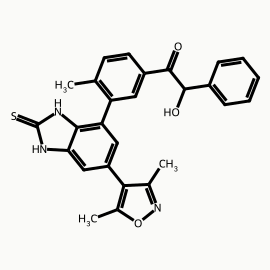 Cc1ccc(C(=O)C(O)c2ccccc2)cc1-c1cc(-c2c(C)noc2C)cc2[nH]c(=S)[nH]c12